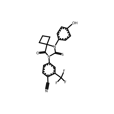 N#Cc1ccc(N2C(=O)C3(CCC3)N(c3ccc(O)cc3)C2=S)cc1C(F)(F)F